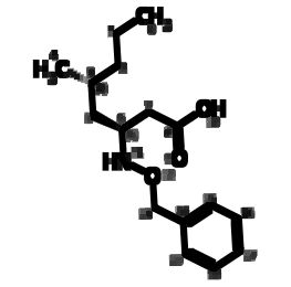 CCC[C@@H](C)C[C@@H](CC(=O)O)NOCc1ccccc1